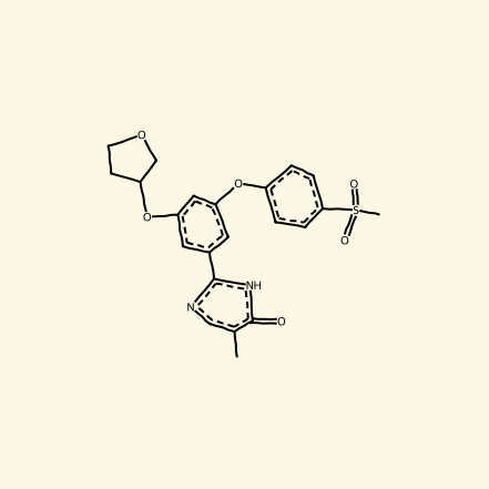 Cc1cnc(-c2cc(Oc3ccc(S(C)(=O)=O)cc3)cc(OC3CCOC3)c2)[nH]c1=O